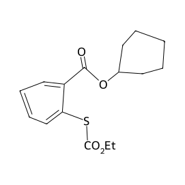 CCOC(=O)Sc1ccccc1C(=O)OC1CCCCC1